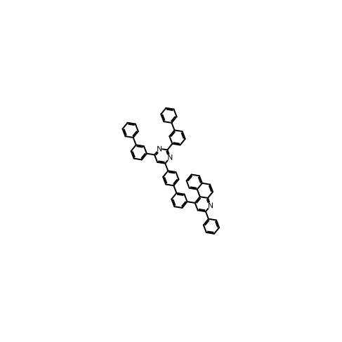 c1ccc(-c2cccc(-c3cc(-c4ccc(-c5cccc(-c6cc(-c7ccccc7)nc7ccc8ccccc8c67)c5)cc4)nc(-c4cccc(-c5ccccc5)c4)n3)c2)cc1